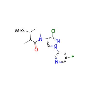 CSC(C)C(C)C(=O)N(C)c1cn(-c2cncc(F)c2)nc1Cl